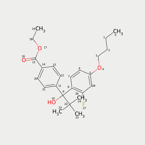 CCCCOc1ccc(C(O)(c2ccc(C(=O)OCC)cc2)C(C)(C)C)c(F)c1